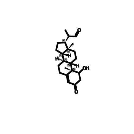 CC(C=O)[C@H]1CC[C@H]2[C@@H]3CCC4=CC(=O)CC(O)[C@]4(C)[C@H]3CC[C@]12C